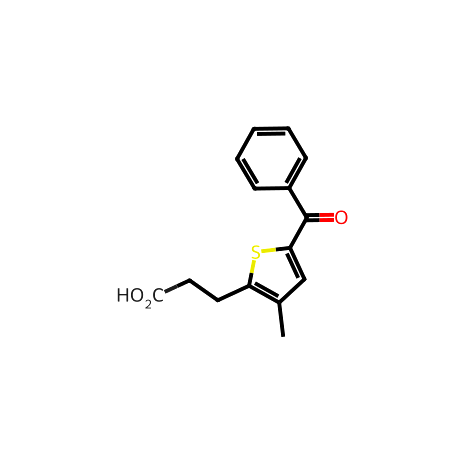 Cc1cc(C(=O)c2ccccc2)sc1CCC(=O)O